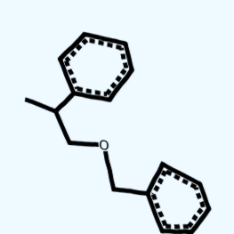 C[C](COCc1ccccc1)c1ccccc1